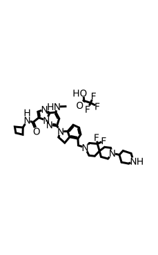 CNc1cc(N2CCc3c(CN4CCC5(CCN(C6CCNCC6)CC5)C(F)(F)C4)cccc32)nn2c(C(=O)NC3CCC3)cnc12.O=C(O)C(F)(F)F